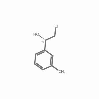 Cc1cccc([C@H](O)CCl)c1